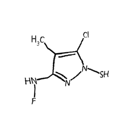 Cc1c(NF)nn(S)c1Cl